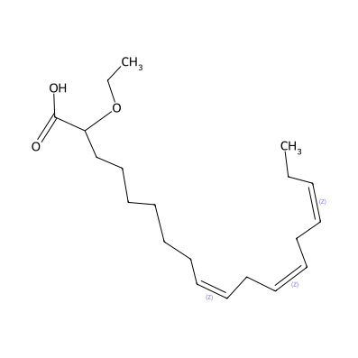 CC/C=C\C/C=C\C/C=C\CCCCCCC(OCC)C(=O)O